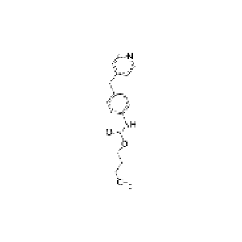 CCCCOC(=O)Nc1ccc(Cc2ccncc2)cc1